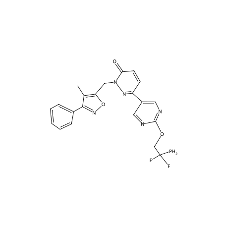 Cc1c(-c2ccccc2)noc1Cn1nc(-c2cnc(OCC(F)(F)P)nc2)ccc1=O